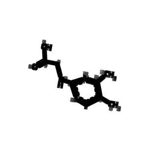 Cc1cnc(NCC(=O)O)nc1C